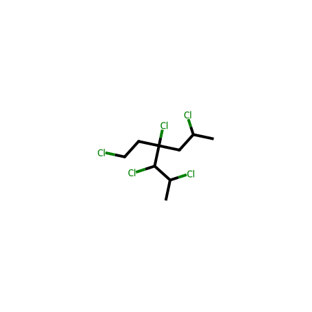 CC(Cl)CC(Cl)(CCCl)C(Cl)C(C)Cl